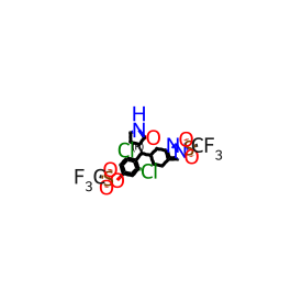 O=C1NCC[C@@H]1C(c1c(Cl)cc(OS(=O)(=O)C(F)(F)F)cc1Cl)C1CCc2cn(S(=O)(=O)C(F)(F)F)nc2C1